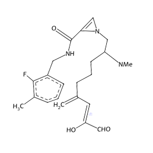 C=C(/C=C(\O)C=O)CCCC(CN1C=C1C(=O)NCc1cccc(C)c1F)NC